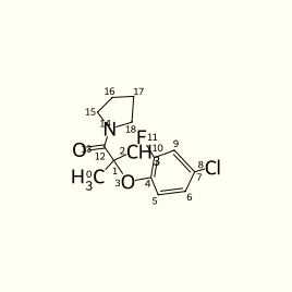 CC(C)(Oc1ccc(Cl)cc1F)C(=O)N1CCCC1